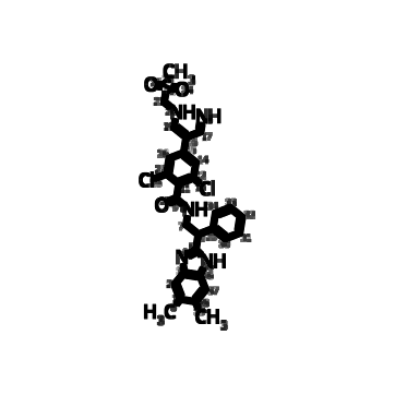 Cc1cc2nc(C(CNC(=O)c3c(Cl)cc(/C(C=N)=C/NCS(C)(=O)=O)cc3Cl)c3ccccc3)[nH]c2cc1C